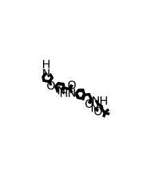 CC(C)(C)c1cc(NC(=O)Cc2ccc(NC(=O)c3ccc(OC4CCNCC4)cn3)cc2)no1